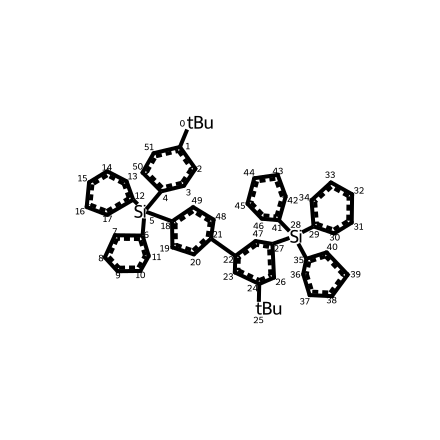 CC(C)(C)c1ccc([Si](c2ccccc2)(c2ccccc2)c2ccc(-c3cc(C(C)(C)C)cc([Si](c4ccccc4)(c4ccccc4)c4ccccc4)c3)cc2)cc1